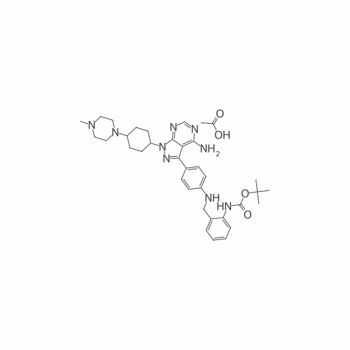 CC(=O)O.CN1CCN(C2CCC(n3nc(-c4ccc(NCc5ccccc5NC(=O)OC(C)(C)C)cc4)c4c(N)ncnc43)CC2)CC1